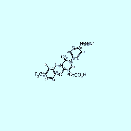 Cc1c(Cn2c(=O)c(OC(=O)O)cn(-c3ccc(N=[N+]=[N-])cc3)c2=O)cccc1C(F)(F)F